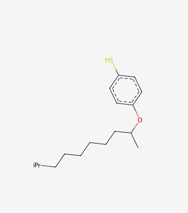 CC(C)CCCCCCC(C)Oc1ccc(S)cc1